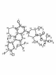 CC1CN(c2nc(=O)n3c4c(c(-c5cc(Cl)c(F)cc5F)c(C(F)(F)F)cc24)SCCC3)CC(C)N1C(=O)OC(C)(C)C